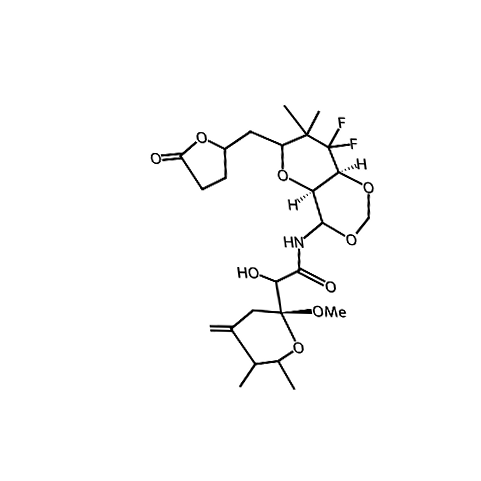 C=C1C[C@](OC)(C(O)C(=O)NC2OCO[C@H]3[C@@H]2OC(CC2CCC(=O)O2)C(C)(C)C3(F)F)OC(C)C1C